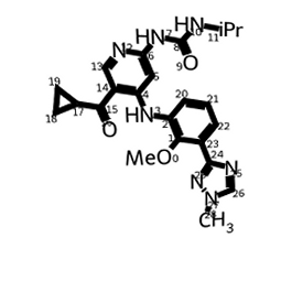 COc1c(Nc2cc(NC(=O)NC(C)C)ncc2C(=O)C2CC2)cccc1-c1ncn(C)n1